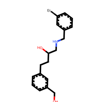 CCc1cccc(CNCC(O)[CH]Cc2cccc(CO)c2)c1